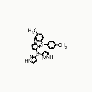 Cc1cc[c]([Zr][c]2ccc(C)cc2)cc1.c1cc(B(c2cc[nH]n2)c2cc[nH]n2)n[nH]1